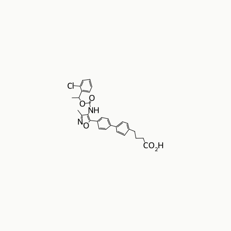 Cc1noc(-c2ccc(-c3ccc(CCCC(=O)O)cc3)cc2)c1NC(=O)OC(C)c1ccccc1Cl